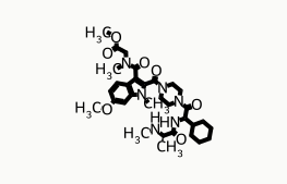 CN[C@@H](C)C(=O)NC(C(=O)N1CCN(C(=O)c2c(C(=O)N(C)CC(=O)OC)c3ccc(OC)cc3n2C)CC1)C1CCCCC1